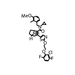 COc1cccc(CN(C(=O)C2=C(c3cnc(OCCOc4c(F)ccc(F)c4Cl)s3)C[C@@H]3CCC2N3)C2CC2)c1C